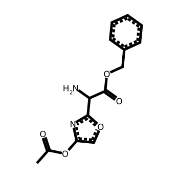 CC(=O)Oc1coc(C(N)C(=O)OCc2ccccc2)n1